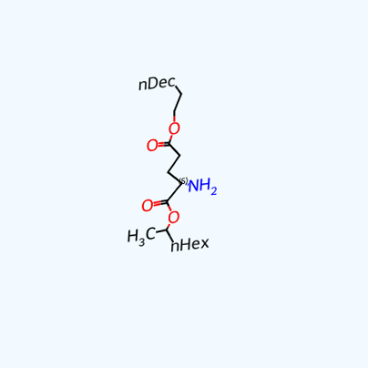 CCCCCCCCCCCCOC(=O)CC[C@H](N)C(=O)OC(C)CCCCCC